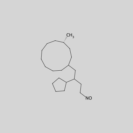 C[C@H]1CCCCCCCC(CC(CCN=O)C2CCCC2)CC1